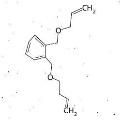 C=CCCOCc1ccccc1COCC=C